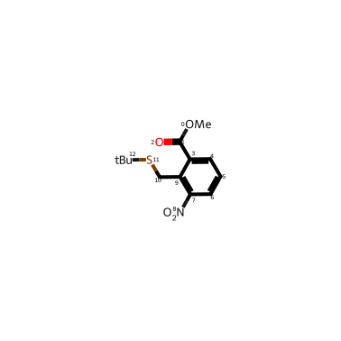 COC(=O)c1cccc([N+](=O)[O-])c1CSC(C)(C)C